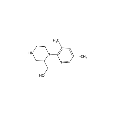 Cc1cnc(N2CCNCC2CO)c(C)c1